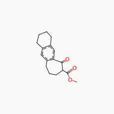 COC(=O)C1CCCc2cc3c(cc2C1=O)CCCC3